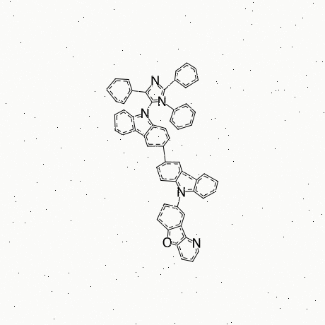 c1ccc(-c2nc(-c3ccccc3)n(-c3ccccc3)c2-n2c3ccccc3c3cc(-c4ccc5c(c4)c4ccccc4n5-c4ccc5oc6cccnc6c5c4)ccc32)cc1